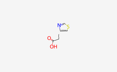 CCC(=O)O.c1cscn1